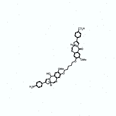 COc1cc2c(cc1OCCCCCOc1cc3c(cc1OC)C(O)N1C=C(c4ccc(N)cc4)C[C@H]1C=N3)N=C[C@@H]1CC(c3ccc(C(=O)O)cc3)=CN1C2=O